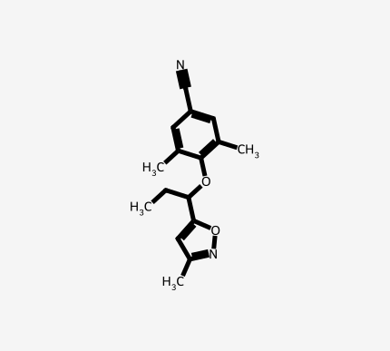 CCC(Oc1c(C)cc(C#N)cc1C)c1cc(C)no1